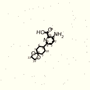 Nc1ccc(C2CCC3(CC2)OCCO3)nc1C(=O)O